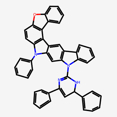 C1=C(c2ccccc2)N=C(n2c3ccccc3c3cc4c5c6c(ccc5n(-c5ccccc5)c4cc32)oc2ccccc26)NC1c1ccccc1